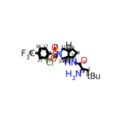 CC(C)(C)C[C@H](N)C(=O)N[C@H]1CC[C@@H]2CN(S(=O)(=O)c3ccc(C(F)(F)F)cc3Cl)C[C@@H]21